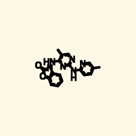 Cc1ccc(Nc2ncc(C)c(Nn3c(=O)oc4ccccc43)n2)nc1